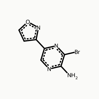 Nc1ncc(-c2ccon2)nc1Br